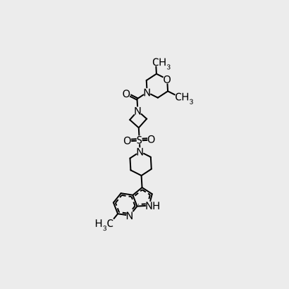 Cc1ccc2c(C3CCN(S(=O)(=O)C4CN(C(=O)N5CC(C)OC(C)C5)C4)CC3)c[nH]c2n1